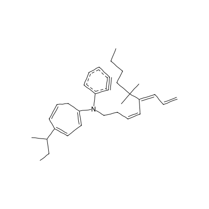 C=C/C=C(\C=C/CCN(C1=CC=C(C(C)CC)C=CC1)c1c#cccc1)C(C)(C)CCCC